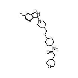 O=C(CC1CCOCC1)N[C@H]1CC[C@H](CCC2CCN(c3noc4cc(F)ccc34)CC2)CC1